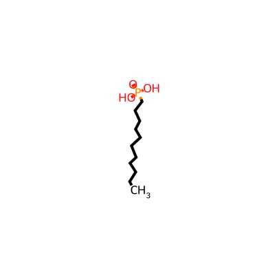 CCCCCCCCCCCP(=O)(O)O